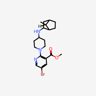 COC(=O)c1cc(Br)cnc1N1CCC(NC2CC3CCC2[C@@H]3C)CC1